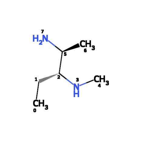 CC[C@@H](NC)[C@H](C)N